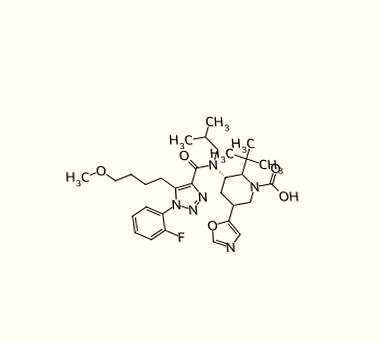 COCCCCc1c(C(=O)N(CC(C)C)[C@H]2CC(c3cnco3)CN(C(=O)O)C2C(C)(C)C)nnn1-c1ccccc1F